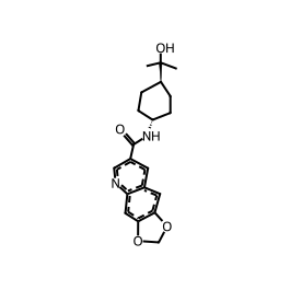 CC(C)(O)[C@H]1CC[C@H](NC(=O)c2cnc3cc4c(cc3c2)OCO4)CC1